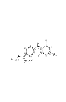 CNCc1c[nH]c2cc(Nc3c(C)cc(F)cc3C)ccc12